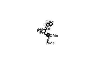 COCCCOc1cc(C[C@@H](C[C@H](N)[C@@H](O)CNC(=O)[C@H](OC)C2CCCCC2)C(C)C)ccc1OC.Cl